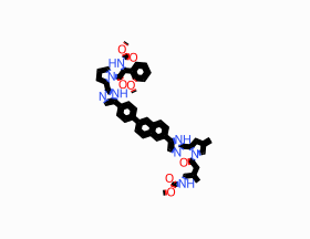 C=C1CC(c2ncc(-c3ccc4cc(-c5ccc(-c6cnc(C7CCCN7C(=O)C(NC(=O)OC)c7ccccc7OC)[nH]6)cc5)ccc4c3)[nH]2)N(C(=O)CC(C)CNC(=O)OC)C1